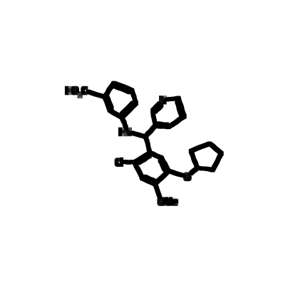 COc1cc(Cl)c(C(Nc2cccc(C(=O)O)c2)c2cccnc2)cc1OC1CCCC1